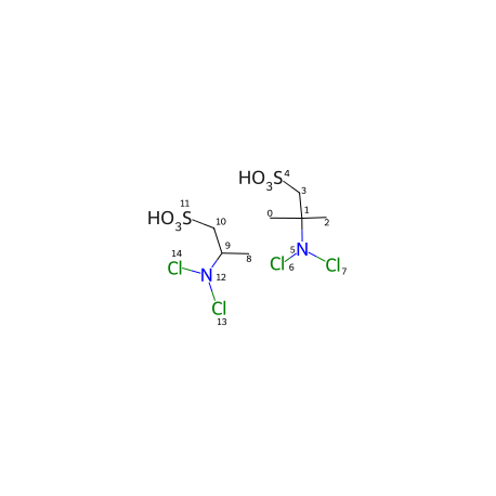 CC(C)(CS(=O)(=O)O)N(Cl)Cl.CC(CS(=O)(=O)O)N(Cl)Cl